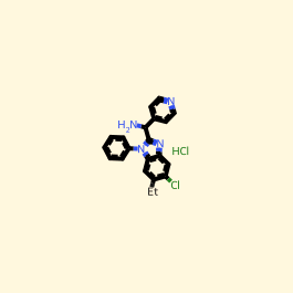 CCc1cc2c(cc1Cl)nc(C(N)c1ccncc1)n2-c1ccccc1.Cl